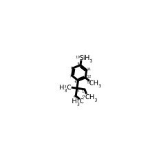 CCC(C)(CC)c1ccc([SiH3])cc1C